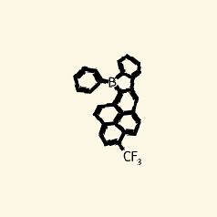 FC(F)(F)c1ccc2ccc3c4c(cc5ccc1c2c53)-c1ccccc1B4c1ccccc1